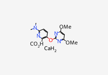 COc1cc(OC)nc(Oc2ccc(N(C)C)nc2C(=O)O)n1.[CaH2]